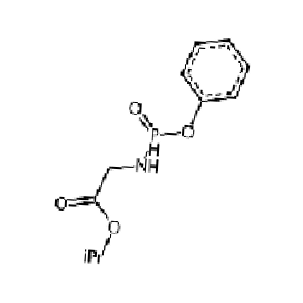 CC(C)OC(=O)CN[PH](=O)Oc1ccccc1